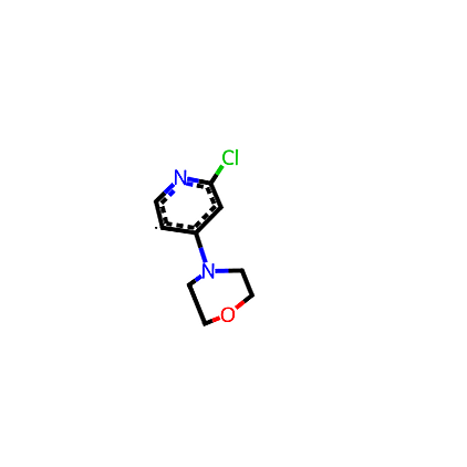 Clc1cc(N2CCOCC2)[c]cn1